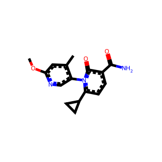 COc1cc(C)c(-n2c(C3CC3)ccc(C(N)=O)c2=O)cn1